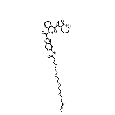 [N-]=[N+]=NCCOCCOCCOCCOCCC(=O)Nc1ccc2sc(C(=O)Nc3ccccc3C(=O)NC3CCCCNC3=O)cc2c1